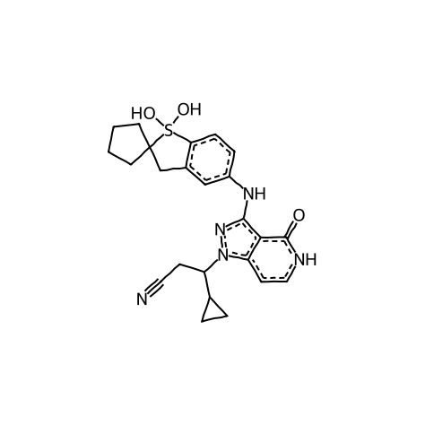 N#CCC(C1CC1)n1nc(Nc2ccc3c(c2)CC2(CCCC2)S3(O)O)c2c(=O)[nH]ccc21